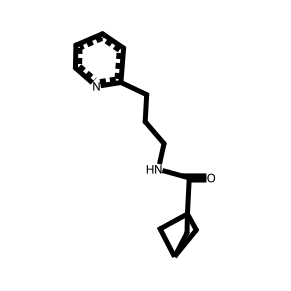 O=C(NCCCc1ccccn1)C12CC(C1)C2